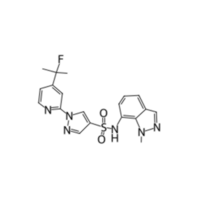 Cn1ncc2cccc(NS(=O)(=O)c3cnn(-c4cc(C(C)(C)F)ccn4)c3)c21